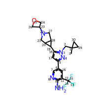 CC1(Cn2nc(-c3cnc(N)c(C(F)(F)F)c3)cc2C2C3CN(C4COC4)CC32)CC1